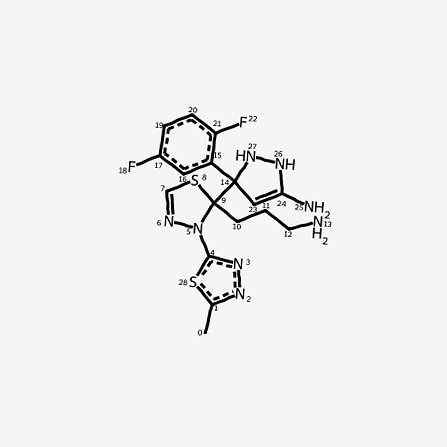 Cc1nnc(N2N=CSC2(CCCN)C2(c3cc(F)ccc3F)C=C(N)NN2)s1